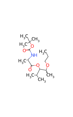 CCCO[C@@H](C)C(OC(=O)[C@H](C)NC(=O)OC(C)(C)C)C(C)C